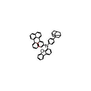 c1ccc(-c2cccc3cccc(-c4cccc(N(c5ccc(C67CC8CC(CC(C8)C6)C7)cc5)c5cccc6c5oc5ccccc56)c4)c23)cc1